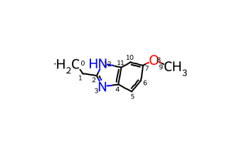 [CH2]Cc1nc2ccc(OC)cc2[nH]1